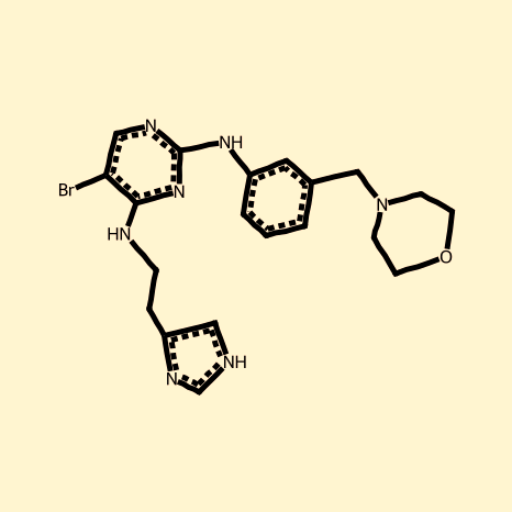 Brc1cnc(Nc2cccc(CN3CCOCC3)c2)nc1NCCc1c[nH]cn1